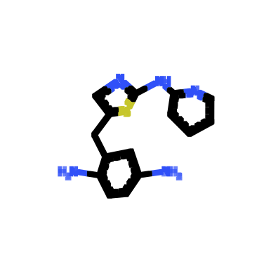 Nc1ccc(N)c(Cc2cnc(Nc3ccccn3)s2)c1